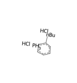 CCCCc1ccccc1.Cl.Cl.P